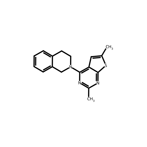 Cc1nc(N2CCc3ccccc3C2)c2cc(C)sc2n1